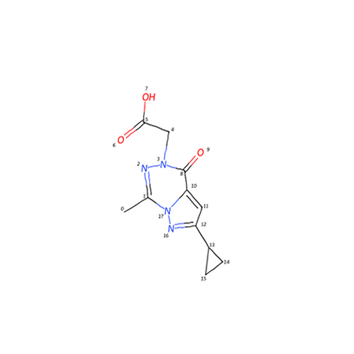 Cc1nn(CC(=O)O)c(=O)c2cc(C3CC3)nn12